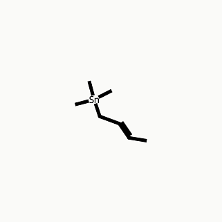 CC=C[CH2][Sn]([CH3])([CH3])[CH3]